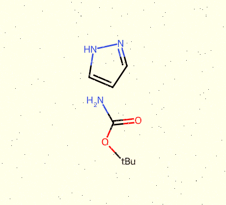 CC(C)(C)OC(N)=O.c1cn[nH]c1